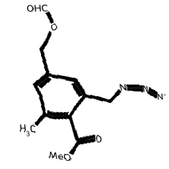 COC(=O)c1c(C)cc(COC=O)cc1CN=[N+]=[N-]